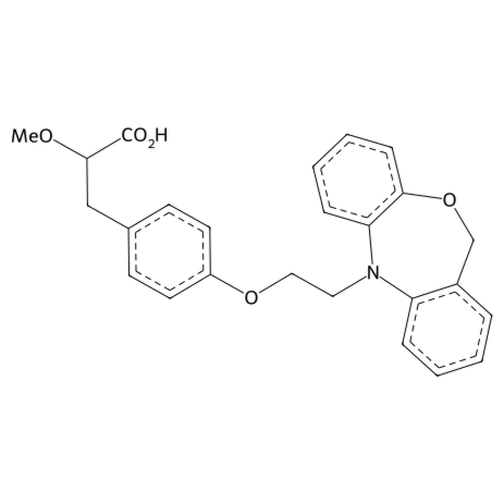 COC(Cc1ccc(OCCN2c3ccccc3COc3ccccc32)cc1)C(=O)O